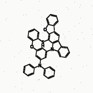 c1ccc(N(c2ccccc2)c2cc3c4c(c2)-n2c5ccccc5c5cc6c(oc7ccccc76)c(c52)[SH]4c2ccccc2O3)cc1